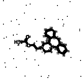 NC(=O)OCCN1CCN2c3ccccc3Cc3ccccc3C2C1